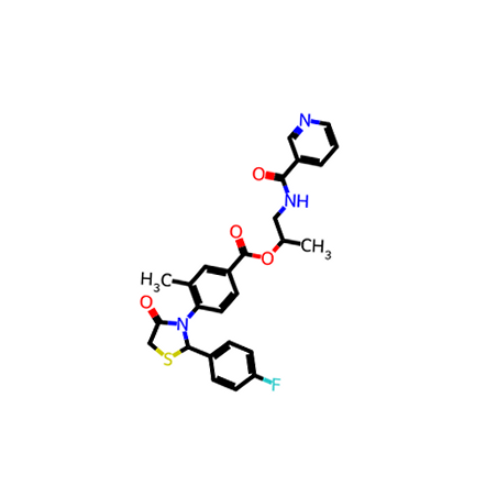 Cc1cc(C(=O)OC(C)CNC(=O)c2cccnc2)ccc1N1C(=O)CSC1c1ccc(F)cc1